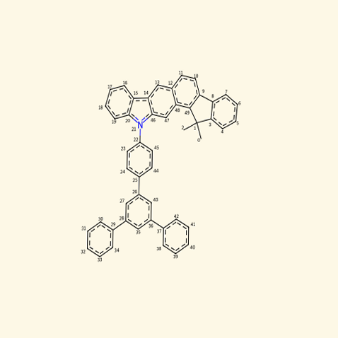 CC1(C)c2ccccc2-c2ccc3cc4c5ccccc5n(-c5ccc(-c6cc(-c7ccccc7)cc(-c7ccccc7)c6)cc5)c4cc3c21